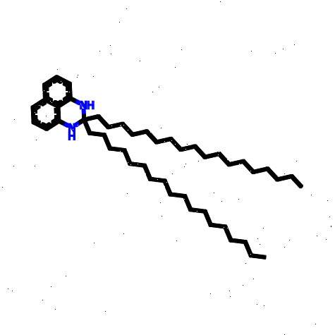 CCCCCCCCCCCCCCCCCCC1(CCCCCCCCCCCCCCCCCC)Nc2cccc3cccc(c23)N1